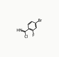 N=C(Cl)c1ccc(Br)cc1F